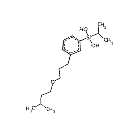 CC(C)CCOCCCc1cccc([Si](O)(O)C(C)C)c1